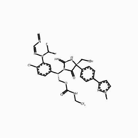 C=N/C=N\N(c1cc([C@@H](COC(=O)NCC(F)(F)F)N2C(=N)N[C@](CC(C)(C)C)(c3ccc(-c4ccn(C)n4)cc3)C2=O)ccc1Cl)C(F)F